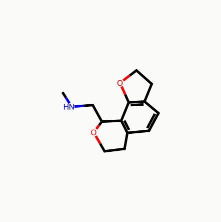 CNCC1OCCc2ccc3c(c21)OCC3